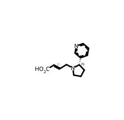 O=C(O)/C=C/CN1CCC[C@H]1c1cccnc1